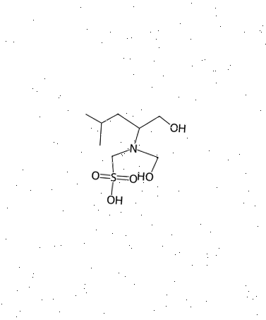 CC(C)CC(CO)N(CO)CS(=O)(=O)O